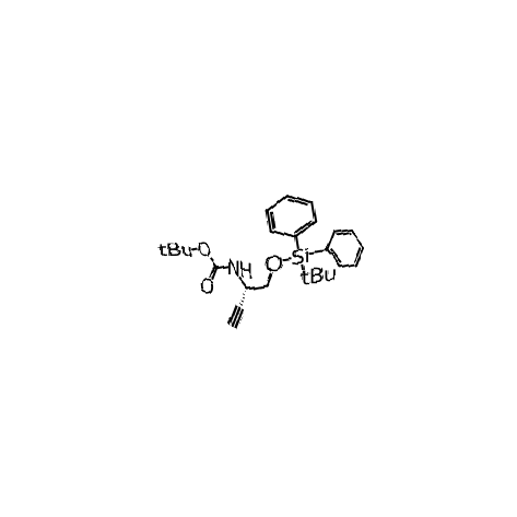 C#C[C@@H](CO[Si](c1ccccc1)(c1ccccc1)C(C)(C)C)NC(=O)OC(C)(C)C